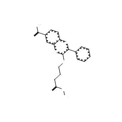 COC(=O)c1ccc2nc(-c3ccccc3)c(OCCCC(=O)OC(C)(C)C)nc2c1